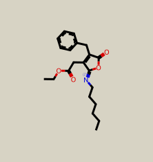 CCCCCC/N=C1\OC(=O)C(Cc2ccccc2)=C1CC(=O)OCC